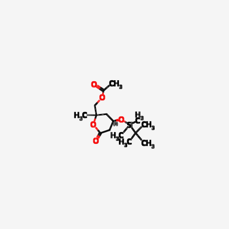 CC(=O)OCC1(C)C[C@@H](O[Si](C)(C)C(C)(C)C)CC(=O)O1